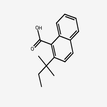 CCC(C)(C)c1ccc2ccccc2c1C(=O)O